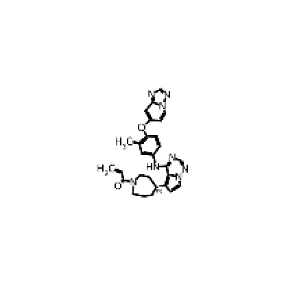 C=CC(=O)N1CCC[C@H](c2ccn3ncnc(Nc4ccc(Oc5ccn6ncnc6c5)c(C)c4)c23)CC1